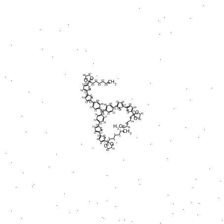 CCCCCCC1(c2ccc(-c3ccc(-c4ccc(N(c5ccc(-c6ccc(-c7ccc(C8(CCCCCC)OCCO8)s7)s6)cc5)c5ccc(-c6ccc(-c7ccc(C8(CCCCCC)OCCO8)s7)s6)cc5)cc4)s3)s2)OCCO1